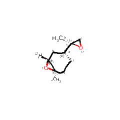 C[C@]1([C@@H]2CC[C@@]3(C)O[C@@H]3C2)CO1